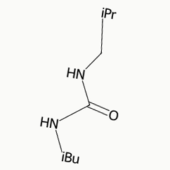 CCC(C)NC(=O)NCC(C)C